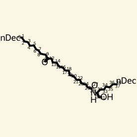 CCCCCCCCCCCCCCCCCCCC(=O)CCCCCCCCCCCCCCC(=O)NC(CO)CCCCCCCCCCCCCCCC